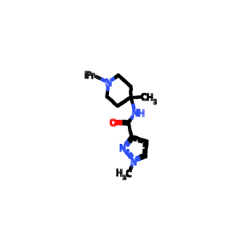 CC(C)N1CCC(C)(NC(=O)c2ccn(C)n2)CC1